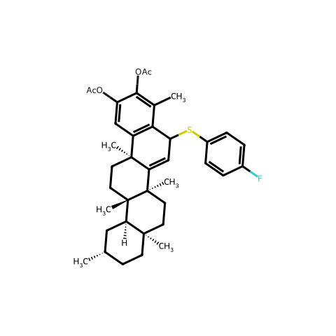 CC(=O)Oc1cc2c(c(C)c1OC(C)=O)C(Sc1ccc(F)cc1)C=C1[C@@]2(C)CC[C@@]2(C)[C@@H]3C[C@@H](C)CC[C@]3(C)CC[C@]12C